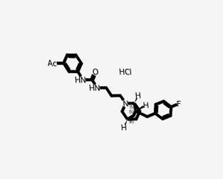 CC(=O)c1cccc(NC(=O)NCCCN2C[C@@H]3CC[C@H]2[C@H](Cc2ccc(F)cc2)C3)c1.Cl